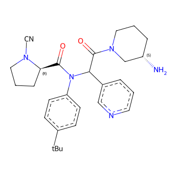 CC(C)(C)c1ccc(N(C(=O)[C@H]2CCCN2C#N)C(C(=O)N2CCC[C@H](N)C2)c2cccnc2)cc1